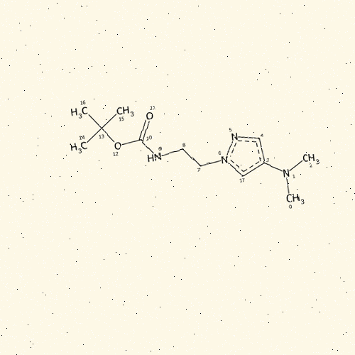 CN(C)c1cnn(CCNC(=O)OC(C)(C)C)c1